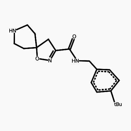 CC(C)(C)c1ccc(CNC(=O)C2=NOC3(CCNCC3)C2)cc1